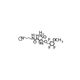 COc1cc(F)c(F)c(COc2nsc(NC(=O)NCCCCN3CCCC3)c2C(N)=O)c1F